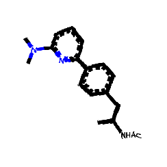 CC(=O)NC(C)Cc1ccc(-c2cccc(N(C)C)n2)cc1